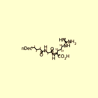 CCCCCCCCCCCCCC(=O)NCC(=O)N[C@@H](CCCNC(=N)N)C(=O)O